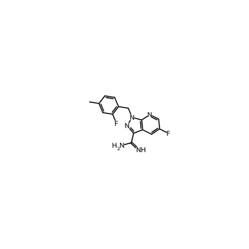 Cc1ccc(Cn2nc(C(=N)N)c3cc(F)cnc32)c(F)c1